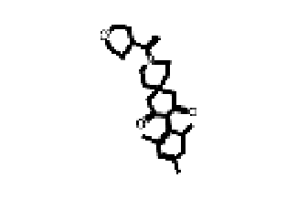 C=C(C1CCOCC1)N1CCC2(CC1)CC(=O)C(C1=C(C)C=C(C)CC1C)C(=O)C2